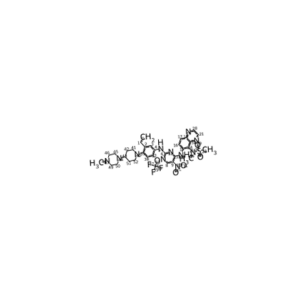 C=Cc1cc(Nc2ncc([N+](=O)[O-])c(Nc3ccc4nccnc4c3N(C)S(C)(=O)=O)n2)c(OC(F)(F)F)cc1N1CCC(N2CCN(C)CC2)CC1